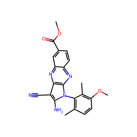 COC(=O)c1ccc2nc3c(nc2c1)c(C#N)c(N)n3-c1c(C)ccc(OC)c1C